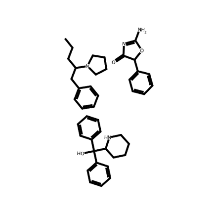 CCCC(Cc1ccccc1)N1CCCC1.NC1=NC(=O)C(c2ccccc2)O1.OC(c1ccccc1)(c1ccccc1)C1CCCCN1